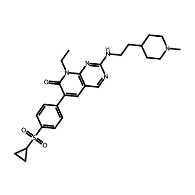 CCn1c(=O)c(-c2ccc(S(=O)(=O)C3CC3)cc2)cc2cnc(NCCC3CCN(C)CC3)nc21